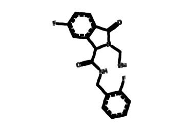 CC(C)(C)CN1C(=O)c2ccc(F)cc2C1C(=O)NCc1ccccc1F